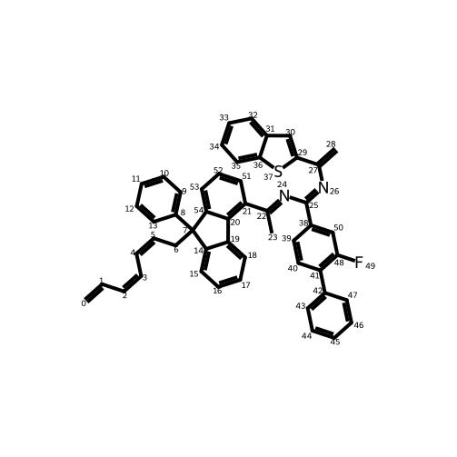 C=C/C=C\C=C/CC1(c2ccccc2)c2ccccc2-c2c(/C(C)=N/C(=N\C(=C)c3cc4ccccc4s3)c3ccc(-c4ccccc4)c(F)c3)cccc21